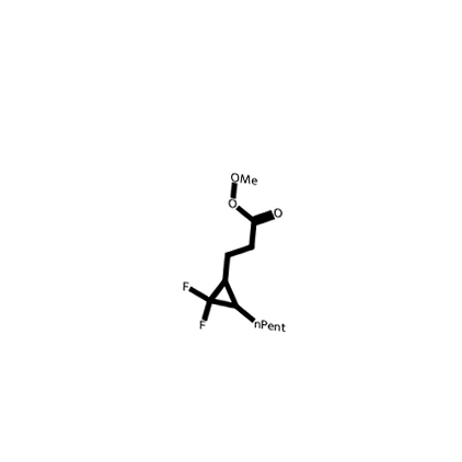 CCCCCC1C(CCC(=O)OOC)C1(F)F